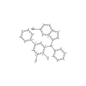 CC(C)(C)c1ccc2scc(N(c3ccccc3)c3cc(-c4ccccc4)cc(Cl)c3Cl)c2c1